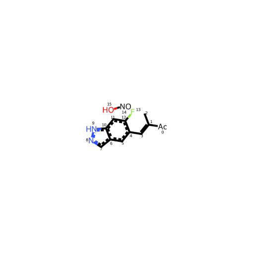 CC(=O)/C(C)=C/c1cc2cn[nH]c2cc1F.O=NO